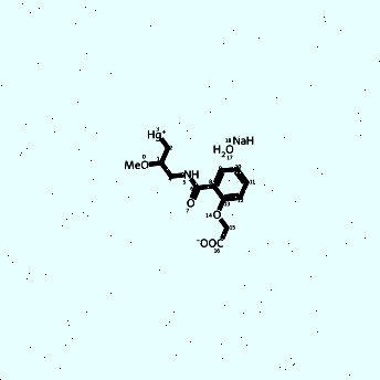 COC([CH2][Hg+])CNC(=O)c1ccccc1OCC(=O)[O-].O.[NaH]